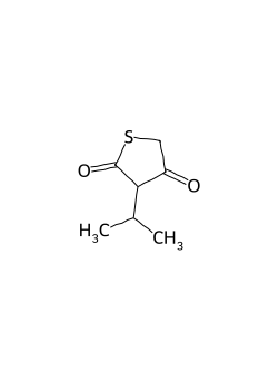 CC(C)C1C(=O)CSC1=O